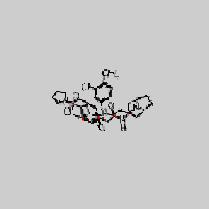 CC(=O)N1CCC(C(=O)N(CCCN2C3CCC2CC(NC(=O)Cc2ccc(S(=O)(=O)N4CCCC4)cc2)C3)c2ccc(C)c(Cl)c2)CC1